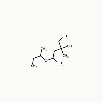 CCC(C)OC(C)CC(C)(O)CC